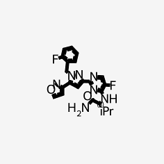 CC(C)[C@H](Nc1nc(-c2cc(-c3ccon3)n(Cc3ccccc3F)n2)ncc1F)C(N)=O